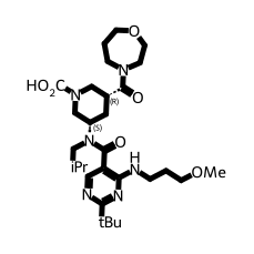 COCCCNc1nc(C(C)(C)C)ncc1C(=O)N(CC(C)C)[C@H]1C[C@@H](C(=O)N2CCCOCC2)CN(C(=O)O)C1